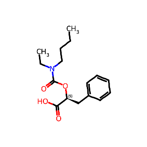 CCCCN(CC)C(=O)O[C@@H](Cc1ccccc1)C(=O)O